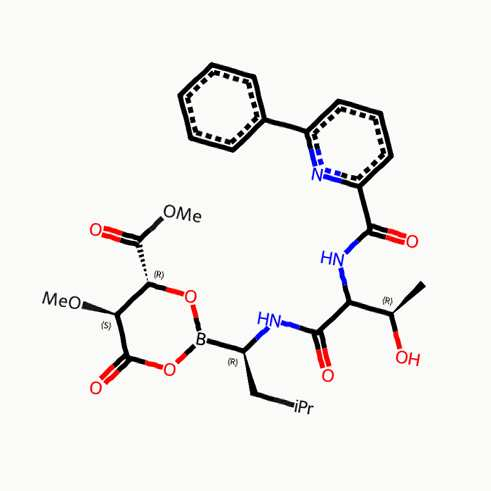 COC(=O)[C@@H]1OB([C@H](CC(C)C)NC(=O)C(NC(=O)c2cccc(-c3ccccc3)n2)[C@@H](C)O)OC(=O)[C@H]1OC